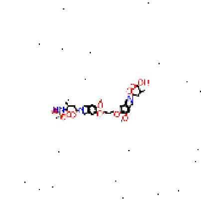 COc1cc2c(cc1OCCCOc1cc3c(cc1OC)CN(C(=O)CC(C)C(=O)NS(C)(=O)=O)C3)CN(C(=O)CC(C)C(=O)O)C2